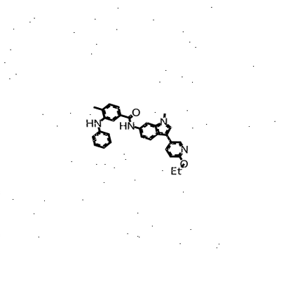 CCOc1ccc(-c2cn(C)c3cc(NC(=O)c4ccc(C)c(Nc5ccccc5)c4)ccc23)cn1